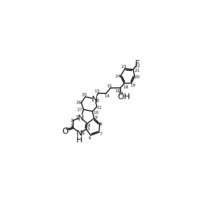 O=C1CN2c3c(cccc3C3CN(CCCC(O)c4ccc(F)cc4)CCC32)N1